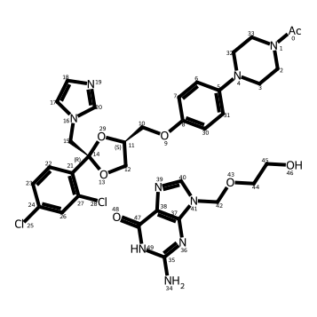 CC(=O)N1CCN(c2ccc(OC[C@H]3CO[C@](Cn4ccnc4)(c4ccc(Cl)cc4Cl)O3)cc2)CC1.Nc1nc2c(ncn2COCCO)c(=O)[nH]1